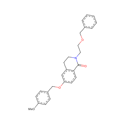 COc1ccc(COc2ccc3c(c2)CCN(CCOCc2ccccc2)C3=O)cc1